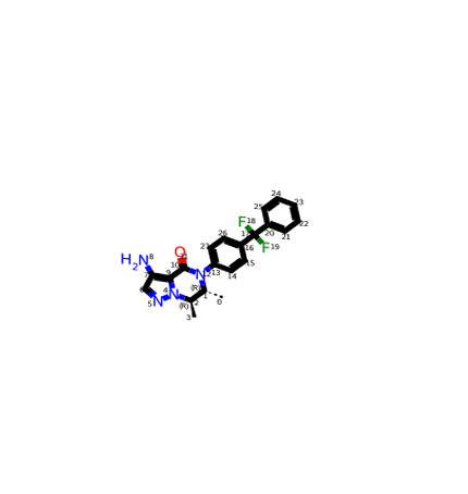 C[C@@H]1[C@@H](C)n2ncc(N)c2C(=O)N1c1ccc(C(F)(F)c2ccccc2)cc1